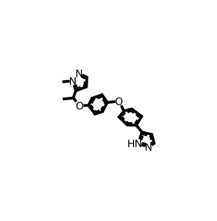 CC(Oc1ccc(Oc2ccc(-c3ccn[nH]3)cc2)cc1)c1ccnn1C